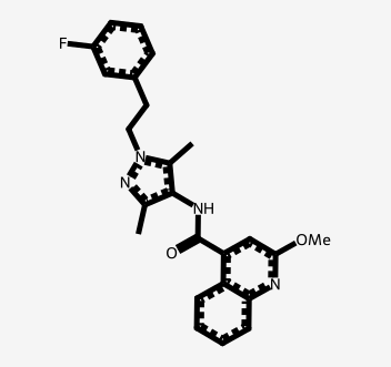 COc1cc(C(=O)Nc2c(C)nn(CCc3cccc(F)c3)c2C)c2ccccc2n1